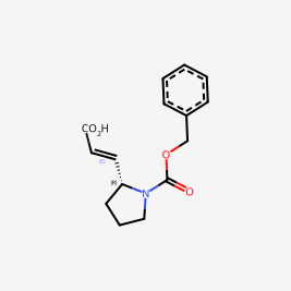 O=C(O)/C=C/[C@H]1CCCN1C(=O)OCc1ccccc1